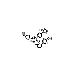 NCC1CCC(C(=O)N[C@@H](Cc2cccc(-c3cnc(O)nc3)c2)C(=O)Nc2ccc(-c3nnn[nH]3)cc2)CC1